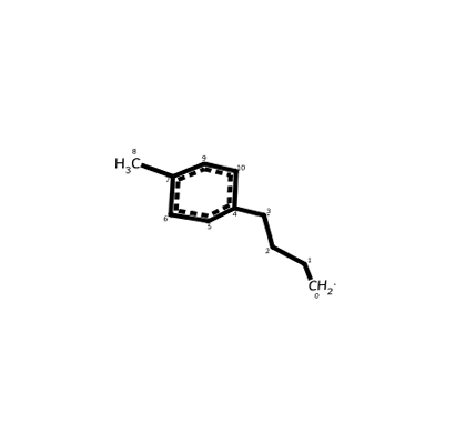 [CH2]CC[CH]c1ccc(C)cc1